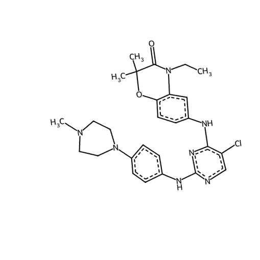 CCN1C(=O)C(C)(C)Oc2ccc(Nc3nc(Nc4ccc(N5CCN(C)CC5)cc4)ncc3Cl)cc21